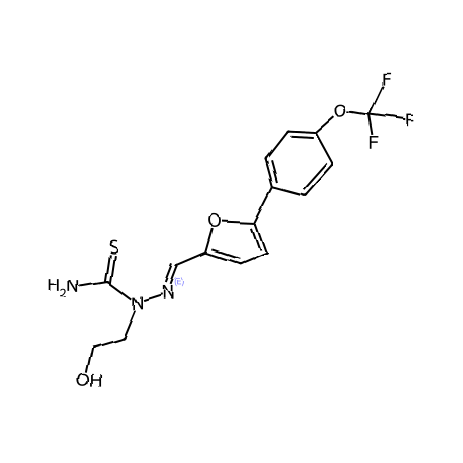 NC(=S)N(CCO)/N=C/c1ccc(-c2ccc(OC(F)(F)F)cc2)o1